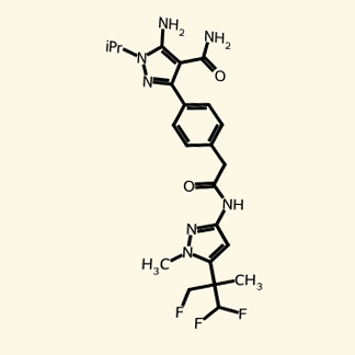 CC(C)n1nc(-c2ccc(CC(=O)Nc3cc(C(C)(CF)C(F)F)n(C)n3)cc2)c(C(N)=O)c1N